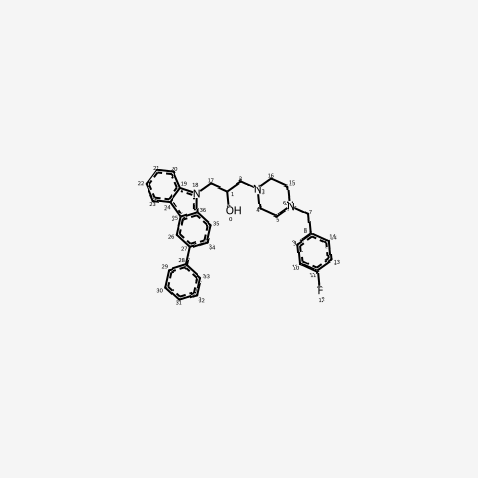 OC(CN1CCN(Cc2ccc(F)cc2)CC1)Cn1c2ccccc2c2cc(-c3ccccc3)ccc21